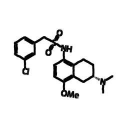 COc1ccc(NS(=O)(=O)Cc2cccc(Cl)c2)c2c1C[C@@H](N(C)C)CC2